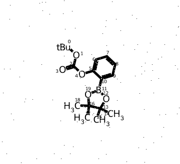 CC(C)(C)OC(=O)Oc1ccccc1B1OC(C)(C)C(C)(C)O1